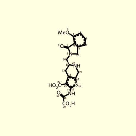 COc1cccc2c1C(=O)N(C[C@@H]1Cc3c(sc(NC(=O)C(=O)O)c3C(=O)O)CN1)C2